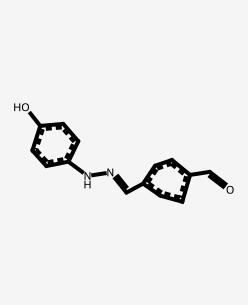 O=Cc1ccc(/C=N/Nc2ccc(O)cc2)cc1